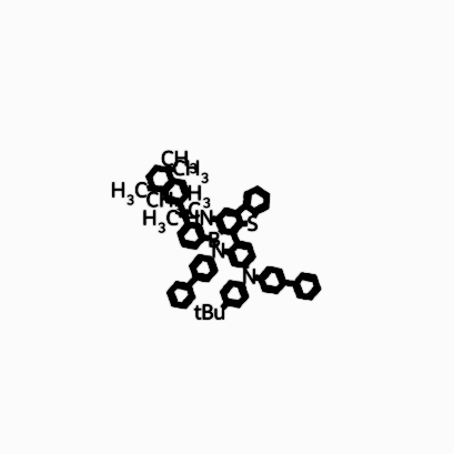 CC(C)(C)c1ccc(N(c2ccc(-c3ccccc3)cc2)c2ccc3c(c2)N(c2ccc(-c4ccccc4)cc2)B2c4cccc(C(C)(C)c5ccc6c(c5)C(C)(C)CCC6(C)C)c4Nc4cc5c(sc6ccccc65)c-3c42)cc1